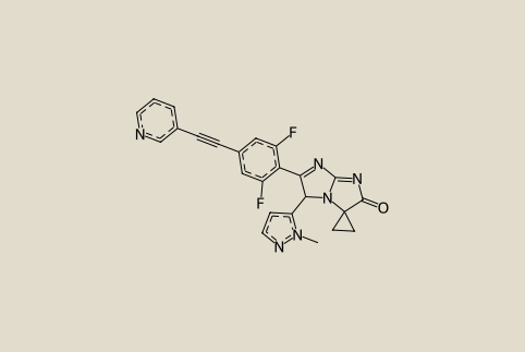 Cn1nccc1C1C(c2c(F)cc(C#Cc3cccnc3)cc2F)=NC2=NC(=O)C3(CC3)N21